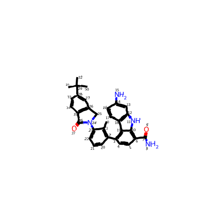 Cc1c(-c2ccc(C(N)=O)c3[nH]c4cc(N)ccc4c23)cccc1N1Cc2cc(C(C)(C)C)ccc2C1=O